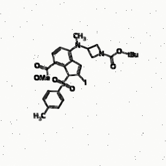 COC(=O)c1ccc(N(C)C2CN(C(=O)OC(C)(C)C)C2)c2c1C(S(=O)(=O)c1ccc(C)cc1)C(I)=C2